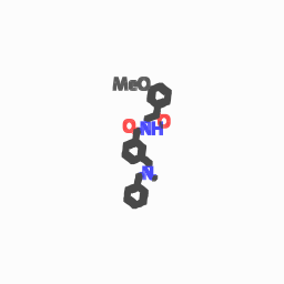 COc1cccc(C(=O)CNC(=O)c2cccc(CN(C)Cc3ccccc3)c2)c1